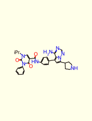 CC(C)n1cc(C(=O)Nc2ccc(-c3cc(C4CCNCC4)n4ncnc(N)c34)cc2)c(=O)n(-c2ccccc2)c1=O